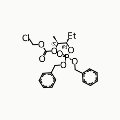 CC[C@@H](OP(=O)(OCc1ccccc1)OCc1ccccc1)[C@H](C)OC(=O)OCCl